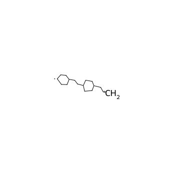 C=CCC1CCC(CCC2CC[CH]CC2)CC1